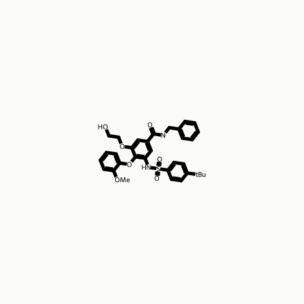 COc1ccccc1Oc1c(NS(=O)(=O)c2ccc(C(C)(C)C)cc2)cc(C(=O)[N]Cc2ccccc2)cc1OCCO